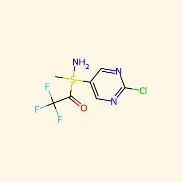 CS(N)(C(=O)C(F)(F)F)c1cnc(Cl)nc1